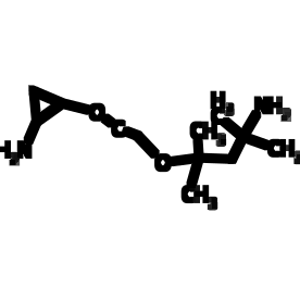 CC(C)(N)CC(C)(C)OCCOC1CC1N